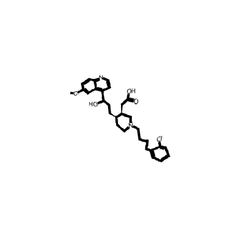 COc1ccc2nccc(C(O)CC[C@@H]3CCN(CCCCc4ccccc4Cl)C[C@@H]3CC(=O)O)c2c1